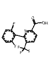 O=C(O)c1ccc(C(F)(F)F)c(-c2c(F)cccc2F)n1